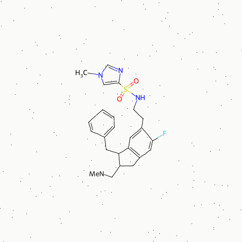 CNCC1Cc2cc(F)c(CCNS(=O)(=O)c3cn(C)cn3)cc2C1Cc1ccccc1